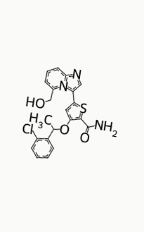 CC(Oc1cc(-c2cnc3cccc(CO)n23)sc1C(N)=O)c1ccccc1Cl